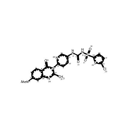 CNc1ccc2c(=O)n(-c3ccc(NC(=O)NS(=O)(=O)c4ccc(Cl)s4)cn3)c(C)nc2c1